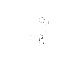 CN(C)C1(c2ccccc2)CCC(C(O)c2cn(C(=O)OC(C)(C)C)c3ccccc23)CC1